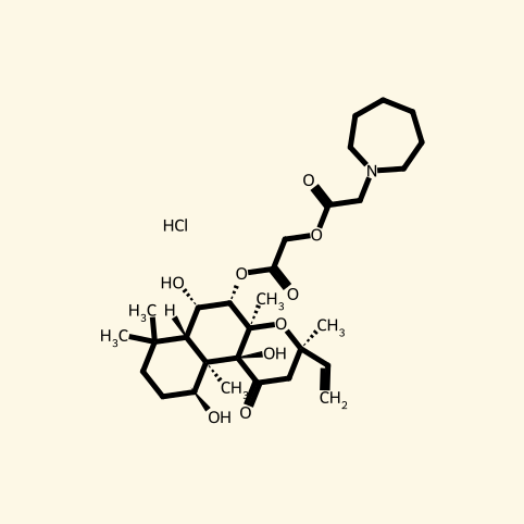 C=C[C@@]1(C)CC(=O)[C@]2(O)[C@@]3(C)[C@@H](O)CCC(C)(C)[C@@H]3[C@H](O)[C@H](OC(=O)COC(=O)CN3CCCCCC3)[C@@]2(C)O1.Cl